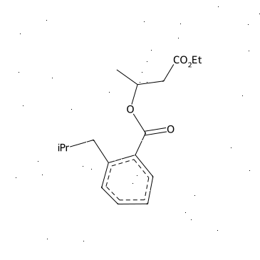 CCOC(=O)CC(C)OC(=O)c1ccccc1CC(C)C